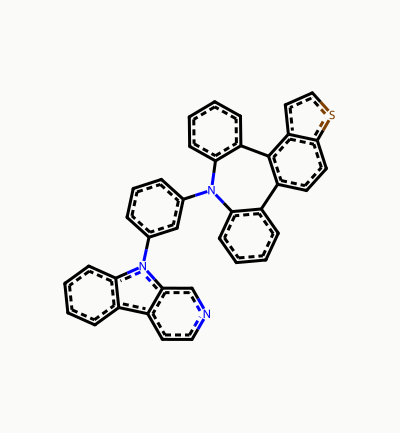 c1cc(N2c3ccccc3-c3ccc4sccc4c3-c3ccccc32)cc(-n2c3ccccc3c3ccncc32)c1